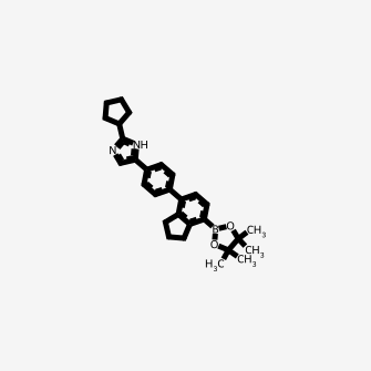 CC1(C)OB(c2ccc(-c3ccc(-c4cnc(C5CCCC5)[nH]4)cc3)c3c2CCC3)OC1(C)C